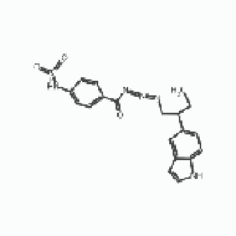 CCC(CN=[N+]=NC(=O)c1ccc(N[SH](=O)=O)cc1)c1ccc2[nH]ccc2c1